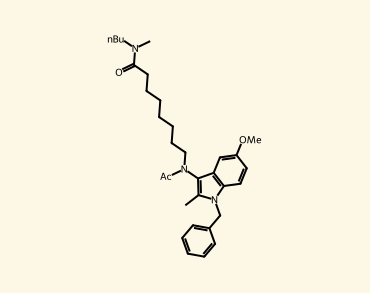 CCCCN(C)C(=O)CCCCCCCN(C(C)=O)c1c(C)n(Cc2ccccc2)c2ccc(OC)cc12